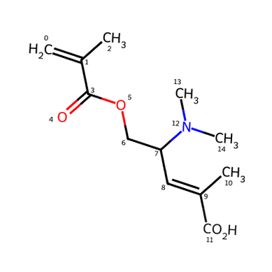 C=C(C)C(=O)OCC(C=C(C)C(=O)O)N(C)C